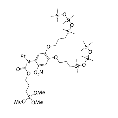 CCN(C(=O)OCCC[Si](OC)(OC)OC)c1cc(OCCC[Si](C)(C)O[Si](C)(C)O[Si](C)(C)C)c(OCCC[Si](C)(C)O[Si](C)(C)O[Si](C)(C)C)cc1[N+](=O)[O-]